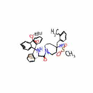 Cc1ccccc1CC1(NS(C)(=O)=O)CCN(C(=O)[C@H](CS)NC(c2ccccc2)(c2ccccc2)c2ccccc2C(=O)OC(C)(C)C)CC1